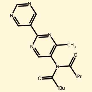 CCC(C)C(=O)N(C(=O)C(C)C)c1cnc(-c2cncnc2)nc1C